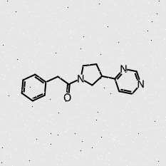 O=C(Cc1ccccc1)N1CCC(c2ccncn2)C1